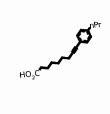 CCCc1ccc(C#CCCCCCCC(=O)O)cc1